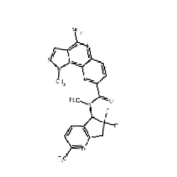 CN(C(=O)c1ccc2nc(N)c3cnn(C)c3c2c1)[C@@H]1c2ccc(C(F)(F)F)nc2CC1(F)F